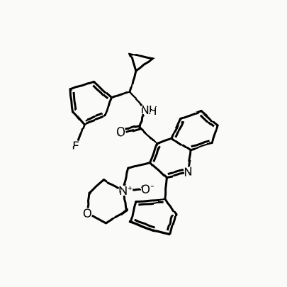 O=C(NC(c1cccc(F)c1)C1CC1)c1c(C[N+]2([O-])CCOCC2)c(-c2ccccc2)nc2ccccc12